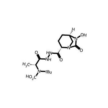 C[C@H](C(=O)NNC(=O)[C@@H]1CC[C@@H]2CN1C(=O)N2O)N(C(=O)O)C(C)(C)C